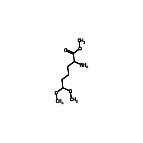 COC(=O)C(N)CCCC(OC)OC